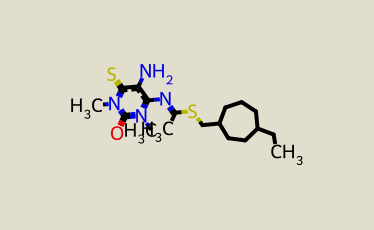 CCC1CCCC(CS/C(C)=N/c2c(N)c(=S)n(C)c(=O)n2C)CC1